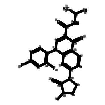 CCC(NC(=O)c1cn(-c2ccc(F)cc2F)c2nc(N3CCC(C)C3=O)ccc2c1=O)C(F)(F)F